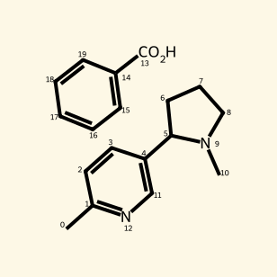 Cc1ccc(C2CCCN2C)cn1.O=C(O)c1ccccc1